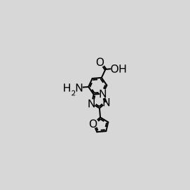 Nc1cc(C(=O)O)cn2nc(-c3ccco3)nc12